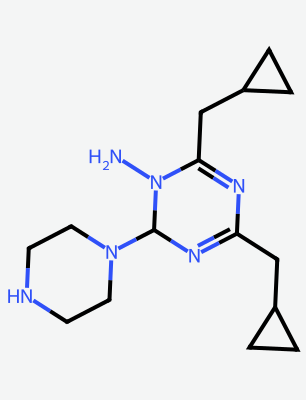 NN1C(CC2CC2)=NC(CC2CC2)=NC1N1CCNCC1